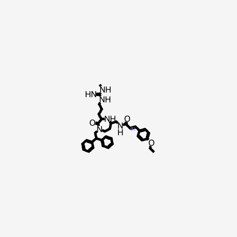 CCOc1ccc(/C=C/C(=O)NCC2CCN(CC(c3ccccc3)c3ccccc3)C(=O)C(CCCNC(=N)NC)N2)cc1